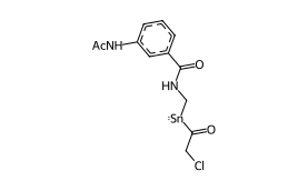 CC(=O)Nc1cccc(C(=O)N[CH2][Sn][C](=O)CCl)c1